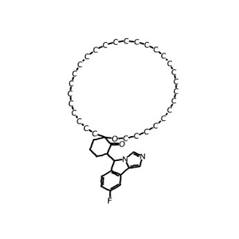 O=C1C(C2c3ccc(F)cc3-c3cncn32)CCCC12CCCCCCCCCCCCCCCCCCCCCCCCCCCCCO2